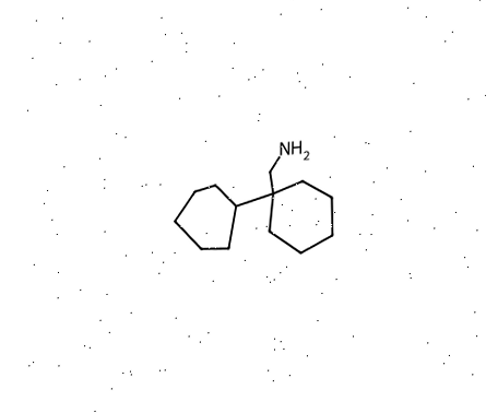 NCC1(C2CCCCC2)CCCCC1